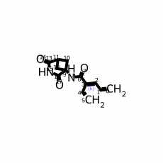 C=C/C=C(\C=C)C(=O)NC12CC(C1)C(=O)NC2=O